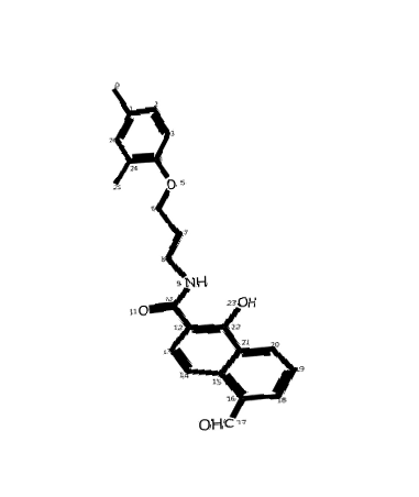 Cc1ccc(OCCCNC(=O)c2ccc3c(C=O)cccc3c2O)c(C)c1